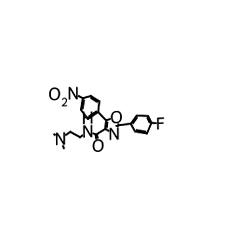 CN(C)CCNC(=O)c1nc(-c2ccc(F)cc2)oc1-c1ccc([N+](=O)[O-])cc1